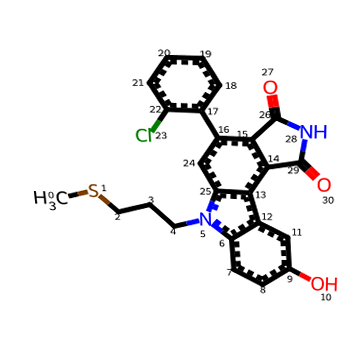 CSCCCn1c2ccc(O)cc2c2c3c(c(-c4ccccc4Cl)cc21)C(=O)NC3=O